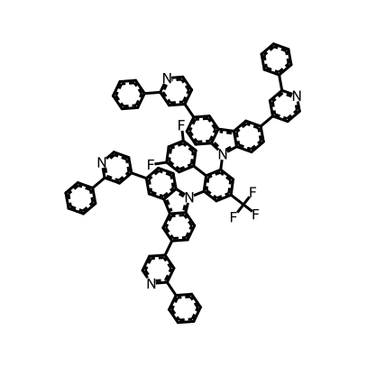 Fc1cc(F)cc(-c2c(-n3c4ccc(-c5ccnc(-c6ccccc6)c5)cc4c4cc(-c5ccnc(-c6ccccc6)c5)ccc43)cc(C(F)(F)F)cc2-n2c3ccc(-c4ccnc(-c5ccccc5)c4)cc3c3cc(-c4ccnc(-c5ccccc5)c4)ccc32)c1